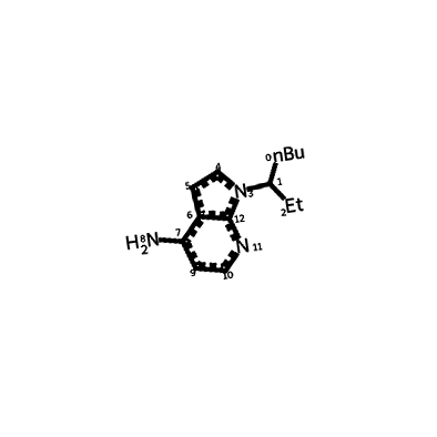 CCCCC(CC)n1ccc2c(N)ccnc21